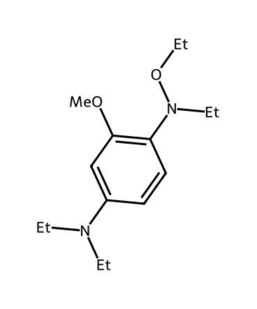 CCON(CC)c1ccc(N(CC)CC)cc1OC